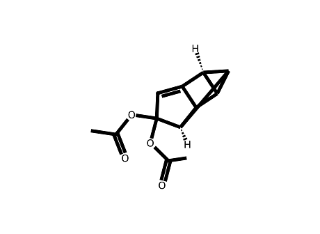 CC(=O)OC1(OC(C)=O)C=C2C3C4C([C@H]24)[C@H]31